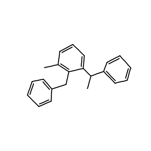 Cc1cccc(C(C)c2ccccc2)c1Cc1ccccc1